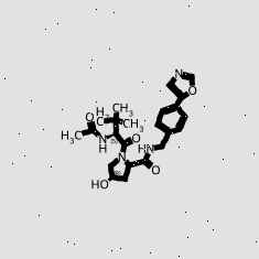 CC(=O)N[C@H](C(=O)N1C[C@H](O)CC1C(=O)NCc1ccc(-c2cnco2)cc1)C(C)(C)C